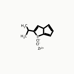 CC(C)C1=CC2C=CC=C2S1.[Cl-].[Cl-].[Zr+2]